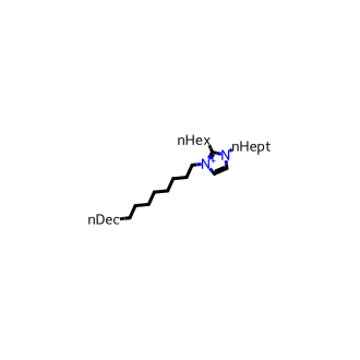 CCCCCCCCCCCCCCCCCC[n+]1ccn(CCCCCCC)c1CCCCCC